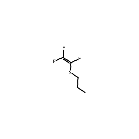 CCCSC(F)=C(F)F